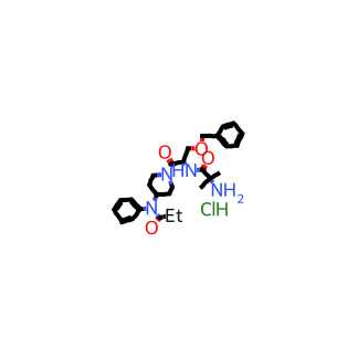 CCC(=O)N(c1ccccc1)C1CCN(C(=O)C(COCc2ccccc2)NC(=O)C(C)(C)N)CC1.Cl